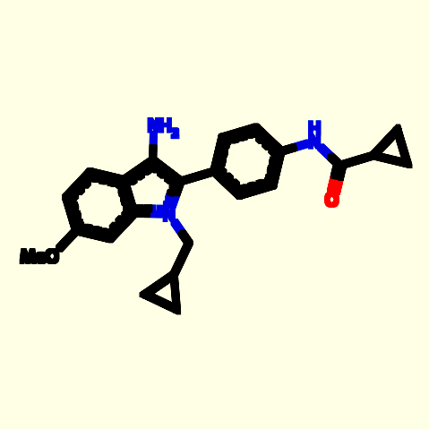 COc1ccc2c(N)c(-c3ccc(NC(=O)C4CC4)cc3)n(CC3CC3)c2c1